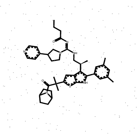 CCCC(=O)/N=C(/NC[C@@H](C)c1c(-c2cc(C)cc(C)c2)[nH]c2sc(C(C)(C)C(=O)N3C4CCC3CC4)cc12)N1CCC(c2ccncc2)C1